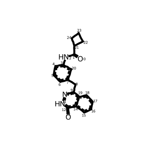 O=C(Nc1cccc(Cc2n[nH]c(=O)c3ccccc23)c1)C1CCC1